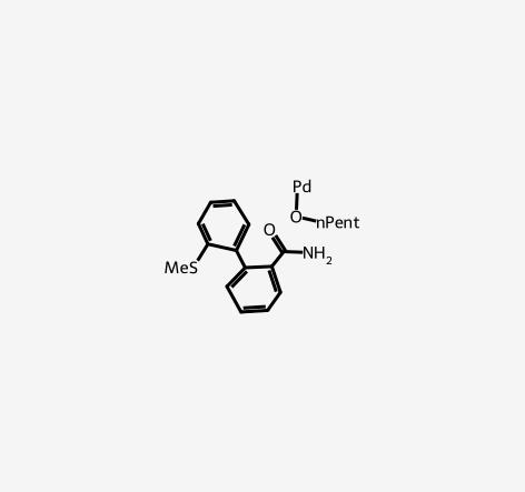 CCCCC[O][Pd].CSc1ccccc1-c1ccccc1C(N)=O